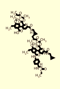 C=Cc1cc(C(=O)O)c(-c2ccc(C(=O)NCC3CC3CC(C)C(=O)OC(C)OC(=O)c3nc(C(=O)NCC4CC4)ccc3-c3cc(OC)c(C=C)cc3C(=O)Nc3ccc(C(=N)NC(=O)SCC)cc3)nc2C(=O)OC(C)OC(=O)C(C)C)cc1OC